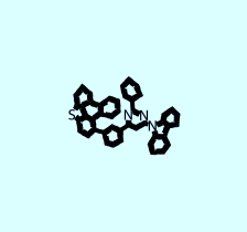 c1ccc(-c2nc(-c3cccc(-c4ccc5sc6cccc7c8ccccc8c4c5c67)c3)cc(-n3c4ccccc4c4ccccc43)n2)cc1